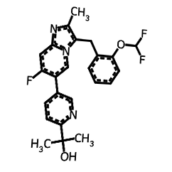 Cc1nc2cc(F)c(-c3ccc(C(C)(C)O)nc3)cn2c1Cc1ccccc1OC(F)F